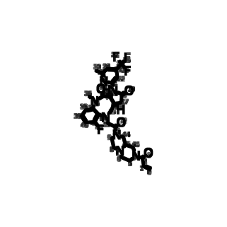 C=CC(=O)N1CCN2CCN(C(=O)CN3C[C@H]4CC(=O)N(c5cc(C(F)(F)F)cc(C)n5)[C@@H]4C(=O)N(C)c4cccc(F)c43)CC2C1